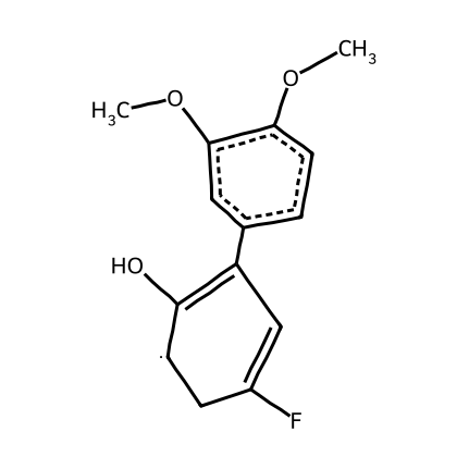 COc1ccc(C2=C(O)[CH]CC(F)=C2)cc1OC